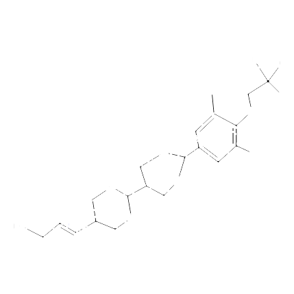 CC/C=C/C1COC(C2COC(c3cc(F)c(OCC(F)(F)F)c(F)c3)OC2)OC1